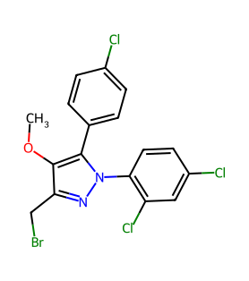 COc1c(CBr)nn(-c2ccc(Cl)cc2Cl)c1-c1ccc(Cl)cc1